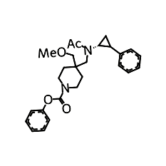 COCC1(CN(C(C)=O)[C@@H]2CC2c2ccccc2)CCN(C(=O)Oc2ccccc2)CC1